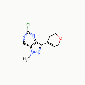 Cn1nc(C2=CCOCC2)c2nc(Cl)ncc21